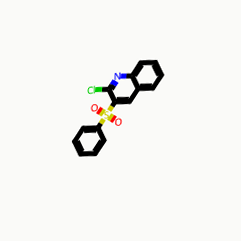 O=S(=O)(c1ccccc1)c1cc2ccccc2nc1Cl